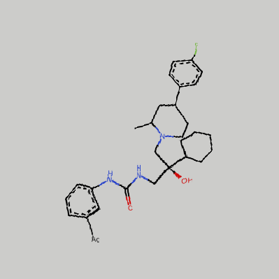 CC(=O)c1cccc(NC(=O)NC[C@](O)(CN2CCC(c3ccc(F)cc3)CC2C)C2CCCCC2)c1